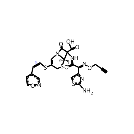 C#CCON=C(C(=O)NC1(C(=O)O)C(=O)N2C=C(S/C=C\c3cccnc3)CS[C@H]21)c1csc(N)n1